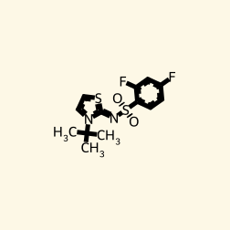 CC(C)(C)n1ccs/c1=N\S(=O)(=O)c1ccc(F)cc1F